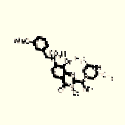 CCCC(c1nc2c(Br)c(N(Cc3cccc(OC)c3)C(=O)O)ccc2c(=O)n1CC)N1C[C@@H](C)N[C@@H](C)C1